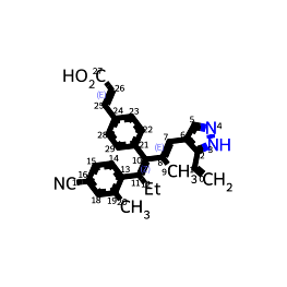 C=Cc1[nH]ncc1/C=C(C)/C(=C(\CC)c1ccc(C#N)cc1C)c1ccc(/C=C/C(=O)O)cc1